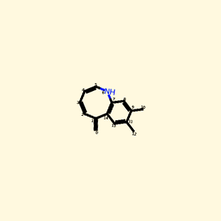 C=C1/C=C\C=C/Nc2cc(C)c(C)cc21